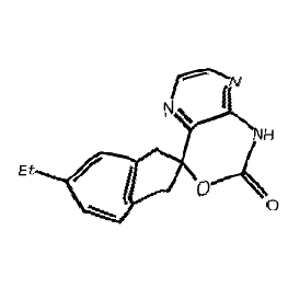 CCc1ccc2c(c1)CC1(C2)OC(=O)Nc2nccnc21